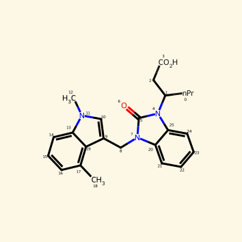 CCCC(CC(=O)O)n1c(=O)n(Cc2cn(C)c3cccc(C)c23)c2ccccc21